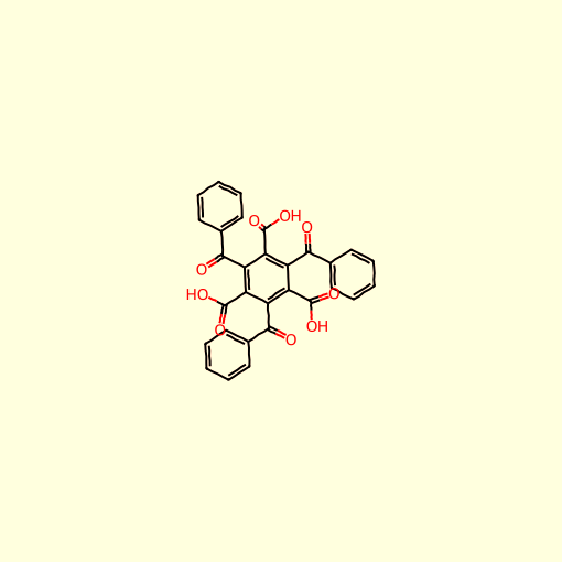 O=C(O)c1c(C(=O)c2ccccc2)c(C(=O)O)c(C(=O)c2ccccc2)c(C(=O)O)c1C(=O)c1ccccc1